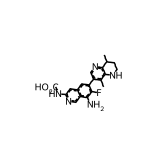 Cc1c(-c2cc3cc(NC(=O)O)ncc3c(N)c2F)cnc2c1NCCC2C